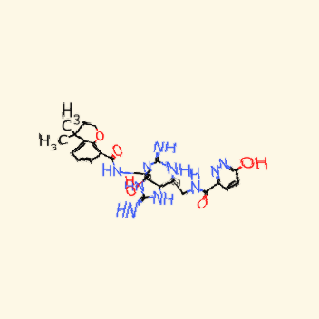 CC1(C)CCOc2c(C(=O)NC3CN4C(=N)N[C@@H](CNC(=O)c5ccc(O)nn5)C5NC(=N)NC54[C@@H]3O)cccc21